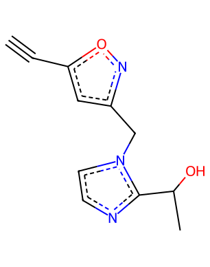 C#Cc1cc(Cn2ccnc2C(C)O)no1